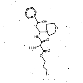 CCCCOC(=O)C(N)C(=O)NC(CC(O)c1ccccc1)N1CCOCC1